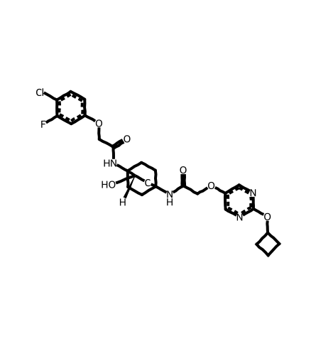 O=C(COc1cnc(OC2CCC2)nc1)NC12CCC(NC(=O)COc3ccc(Cl)c(F)c3)(CC1)[C@@H](O)C2